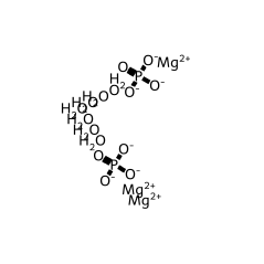 O.O.O.O.O.O.O.O=P([O-])([O-])[O-].O=P([O-])([O-])[O-].[Mg+2].[Mg+2].[Mg+2]